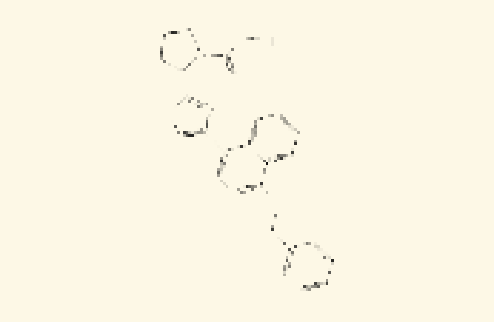 CC(C)(C)OC(=O)N1CCC[C@H]1c1nc(-c2ccc(OCc3ccccc3)c3ccccc23)cs1